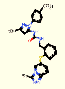 CC(C)c1nnc2ccc(Sc3ccccc3CNC(=O)Nc3cc(C(C)(C)C)nn3-c3ccc(C(=O)O)cc3)cn12